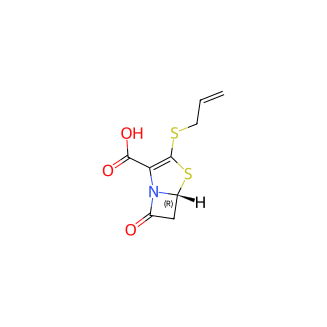 C=CCSC1=C(C(=O)O)N2C(=O)C[C@H]2S1